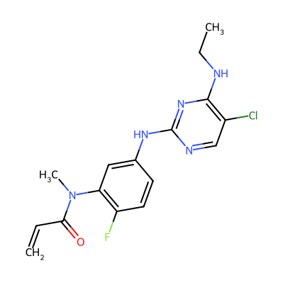 C=CC(=O)N(C)c1cc(Nc2ncc(Cl)c(NCC)n2)ccc1F